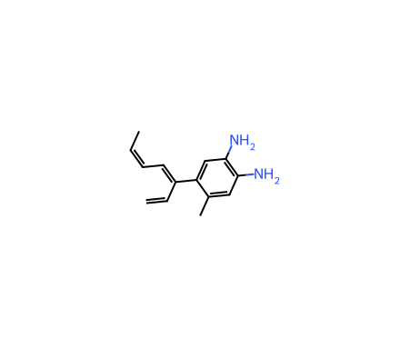 C=C/C(=C\C=C/C)c1cc(N)c(N)cc1C